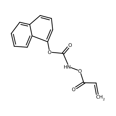 C=CC(=O)ONC(=O)Oc1cccc2ccccc12